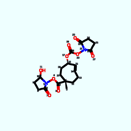 C[C@]1(C(=O)ON2C(=O)CCC2O)CC/C=C/[C@@H](OC(=O)ON2C(=O)CCC2=O)CC1